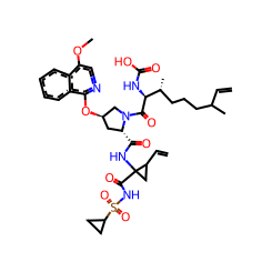 C=CC(C)CCC[C@@H](C)[C@H](NC(=O)O)C(=O)N1C[C@H](Oc2ncc(OC)c3ccccc23)C[C@H]1C(=O)NC1(C(=O)NS(=O)(=O)C2CC2)CC1C=C